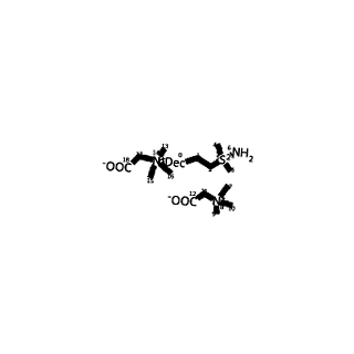 CCCCCCCCCCCC[S-2](C)(C)N.C[N+](C)(C)CC(=O)[O-].C[N+](C)(C)CC(=O)[O-]